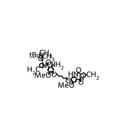 C=C1CC2C(=O)Nc3cc(OCCCCCOc4cc(N)c(C(=O)N5CC(=C)C[C@H]5CO[Si](C)(C)C(C)(C)C)cc4OC)c(OC)cc3C(=O)N2C1